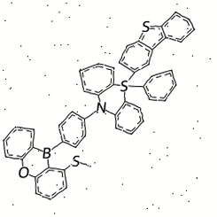 CSc1cccc2c1B(c1ccc(N3c4ccccc4S(c4ccccc4)(c4ccc5sc6ccccc6c5c4)c4ccccc43)cc1)c1ccccc1O2